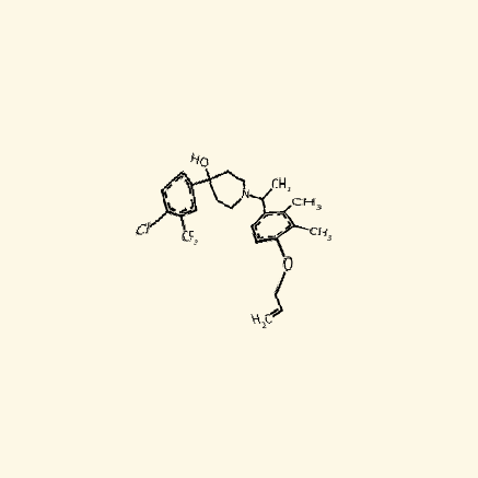 C=CCOc1ccc(C(C)N2CCC(O)(c3ccc(Cl)c(C(F)(F)F)c3)CC2)c(C)c1C